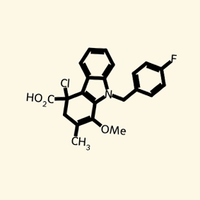 COC1=C(C)CC(Cl)(C(=O)O)c2c1n(Cc1ccc(F)cc1)c1ccccc21